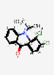 C[C@H](C(=O)O)n1c2ccccc2c(=O)c2ccc(Cl)c(Cl)c21